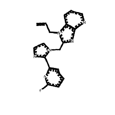 C=CCn1c(Cn2ccnc2-c2cccc(F)n2)nc2ncccc21